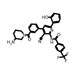 N#Cc1c(-c2cccc(C(=O)N3CCCC(N)C3)c2)cc(-c2ccccc2O)nc1NC(=O)c1ccc(C(F)(F)F)cc1